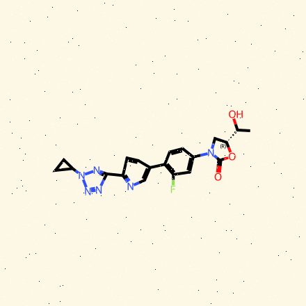 CC(O)[C@H]1CN(c2ccc(-c3ccc(-c4nnn(C5CC5)n4)nc3)c(F)c2)C(=O)O1